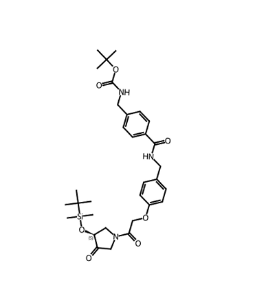 CC(C)(C)OC(=O)NCc1ccc(C(=O)NCc2ccc(OCC(=O)N3CC(=O)[C@@H](O[Si](C)(C)C(C)(C)C)C3)cc2)cc1